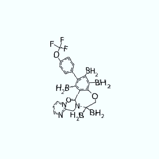 Bc1c(B)c(-c2ccc(OC(F)(F)F)cc2)c(B)c2c1OCC(B)(B)N(Cc1ncccn1)C2=O